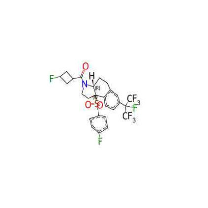 O=C(C1CC(F)C1)N1CC[C@@]2(S(=O)(=O)c3ccc(F)cc3)c3ccc(C(F)(C(F)(F)F)C(F)(F)F)cc3CC[C@@H]12